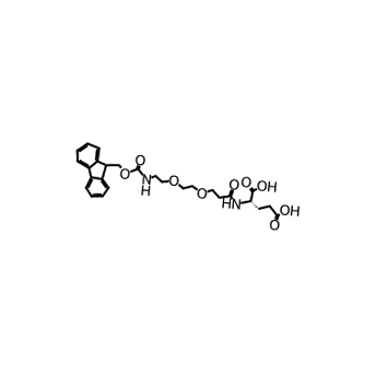 O=C(O)CC[C@H](NC(=O)CCOCCOCCNC(=O)OCC1c2ccccc2-c2ccccc21)C(=O)O